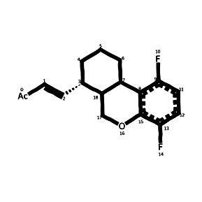 CC(=O)/C=C/[C@@H]1CCCC2c3c(F)ccc(F)c3OCC21